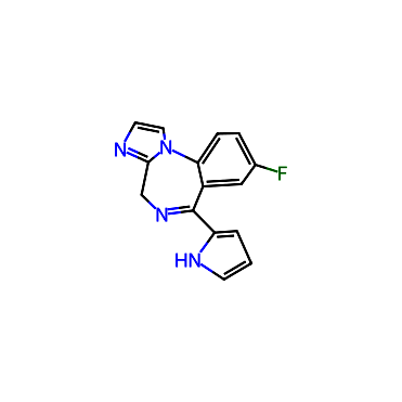 Fc1ccc2c(c1)C(c1ccc[nH]1)=NCc1nccn1-2